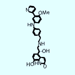 COc1ccc(Nc2ccc(CCNC[C@H](O)c3ccc(O)c4[nH]c(=O)ccc34)cc2)cc1-c1cccnc1